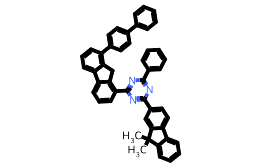 CC1(C)c2ccccc2-c2ccc(-c3nc(-c4ccccc4)nc(-c4cccc5c4Cc4c(-c6ccc(-c7ccccc7)cc6)cccc4-5)n3)cc21